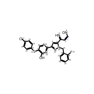 N=C(/C=C\N=O)c1cc(-c2ncc(Sc3ccc(Cl)cc3)c(O)n2)nn1Cc1ccccc1F